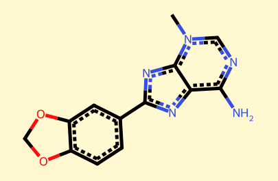 Cn1cnc(N)c2nc(-c3ccc4c(c3)OCO4)nc1-2